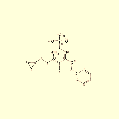 CCC(=C(/N)CCC1CC1)/C(=N\CS(C)(=O)=O)OCc1ccccc1